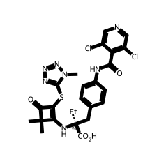 CC[C@@](Cc1ccc(NC(=O)c2c(Cl)cncc2Cl)cc1)(NC1=C(Sc2nnnn2C)C(=O)C1(C)C)C(=O)O